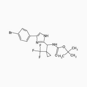 CC(C)(C)OC(=O)NC(c1nc(-c2ccc(Br)cc2)c[nH]1)C1(C(F)(F)F)CC1